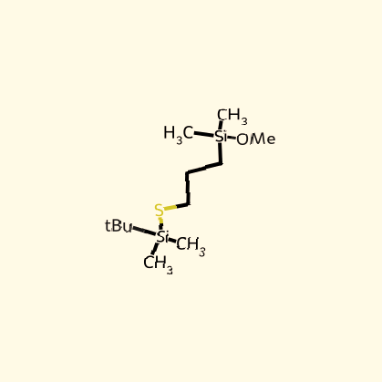 CO[Si](C)(C)CCCS[Si](C)(C)C(C)(C)C